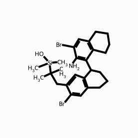 CC(C)(Cc1cc2c(cc1Br)CCCC2c1c(N)c(Br)cc2c1CCCC2)[Si](C)(C)O